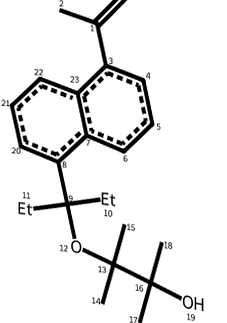 C=C(C)c1cccc2c(C(CC)(CC)OC(C)(C)C(C)(C)O)cccc12